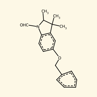 CC1N(C=O)c2ccc(OCc3ccccc3)cc2C1(C)C